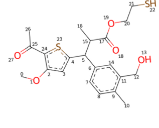 COc1cc(C(c2ccc(C)c(CO)c2)C(C)C(=O)OCCS)sc1C(C)=O